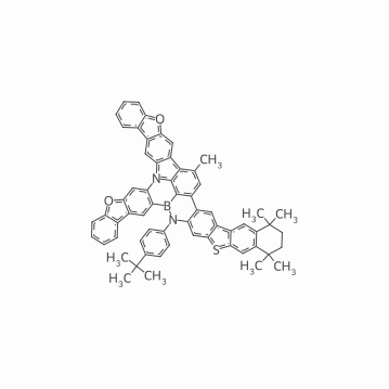 Cc1cc2c3c4c1c1cc5oc6ccccc6c5cc1n4-c1cc4oc5ccccc5c4cc1B3N(c1ccc(C(C)(C)C)cc1)c1cc3sc4cc5c(cc4c3cc1-2)C(C)(C)CCC5(C)C